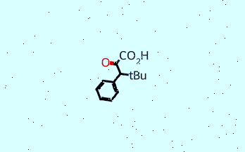 CC(C)(C)C(C(=O)C(=O)O)c1ccccc1